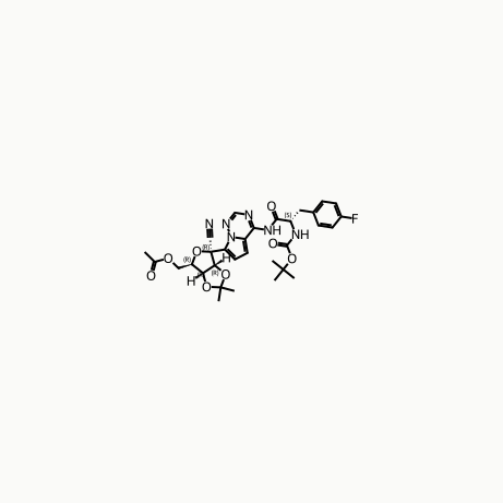 CC(=O)OC[C@H]1O[C@@](C#N)(c2ccc3c(NC(=O)[C@H](Cc4ccc(F)cc4)NC(=O)OC(C)(C)C)ncnn23)[C@@H]2OC(C)(C)O[C@@H]21